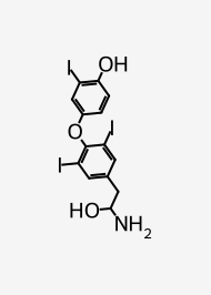 NC(O)Cc1cc(I)c(Oc2ccc(O)c(I)c2)c(I)c1